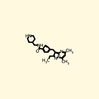 CCc1nn2c(C)cc(C)nc2c1Cc1ccc(C(=O)NCC2CCNCC2)cc1